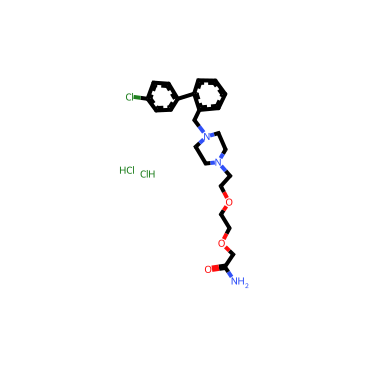 Cl.Cl.NC(=O)COCCOCCN1CCN(Cc2ccccc2-c2ccc(Cl)cc2)CC1